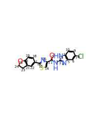 O=C(Nc1nc2cc(Cl)ccc2[nH]1)c1csc(-c2ccc3c(c2)CCO3)n1